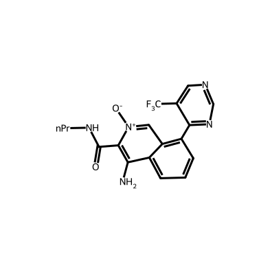 CCCNC(=O)c1c(N)c2cccc(-c3ncncc3C(F)(F)F)c2c[n+]1[O-]